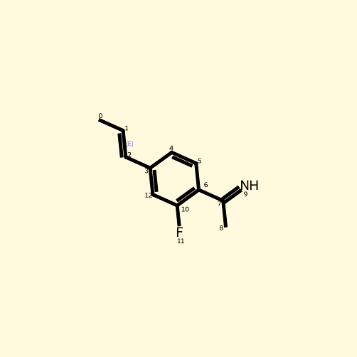 C/C=C/c1ccc(C(C)=N)c(F)c1